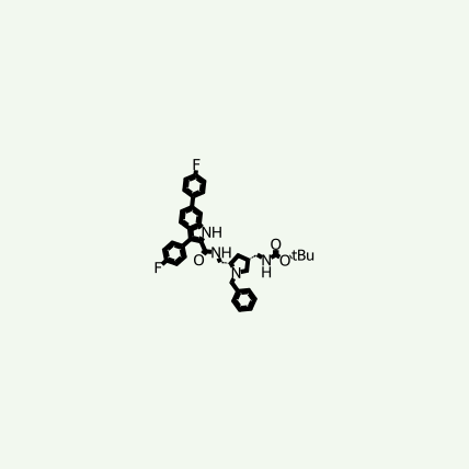 CC(C)(C)OC(=O)NC[C@H]1C[C@@H](CNC(=O)c2[nH]c3cc(-c4ccc(F)cc4)ccc3c2-c2ccc(F)cc2)N(Cc2ccccc2)C1